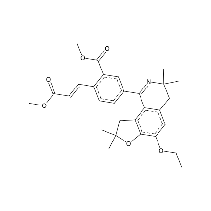 CCOc1cc2c(c3c1OC(C)(C)C3)C(c1ccc(C=CC(=O)OC)c(C(=O)OC)c1)=NC(C)(C)C2